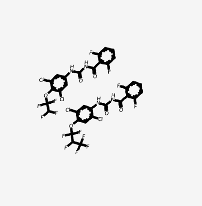 O=C(NC(=O)c1c(F)cccc1F)Nc1cc(Cl)c(OC(F)(F)C(F)C(F)(F)F)cc1Cl.O=C(NC(=O)c1c(F)cccc1F)Nc1cc(Cl)c(OC(F)(F)C(F)F)c(Cl)c1